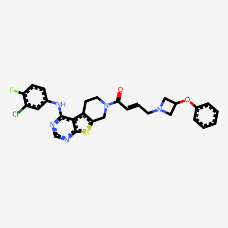 O=C(/C=C/CN1CC(Oc2ccccc2)C1)N1CCc2c(sc3ncnc(Nc4ccc(F)c(Cl)c4)c23)C1